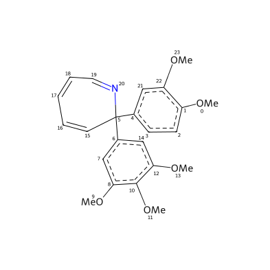 COc1ccc(C2(c3cc(OC)c(OC)c(OC)c3)C=CC=CC=N2)cc1OC